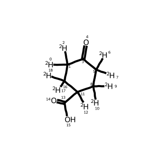 [2H]C1([2H])C(=O)C([2H])([2H])C([2H])([2H])C([2H])(C(=O)O)C1([2H])[2H]